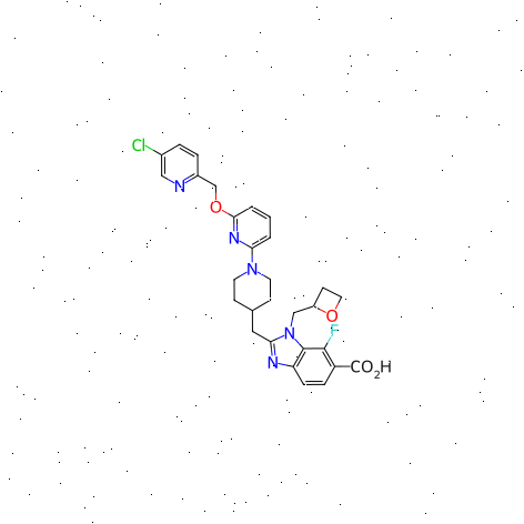 O=C(O)c1ccc2nc(CC3CCN(c4cccc(OCc5ccc(Cl)cn5)n4)CC3)n(CC3CCO3)c2c1F